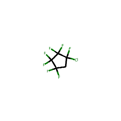 FC1(F)CC(F)(Cl)C(F)(F)C1(F)F